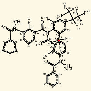 CN(C(=O)c1ccccc1)c1cccc(C(=O)N(C(=O)c2cccc(N(C)C(=O)c3ccccc3)c2F)c2c(I)cc(C(F)(C(F)(F)F)C(F)(F)F)cc2C(F)(F)F)c1F